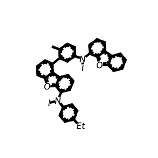 CCc1ccc(N(I)c2cccc3c2oc2cccc(-c4cc(N(I)c5cccc6c5oc5ccccc56)ccc4C)c23)cc1